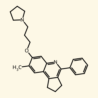 Cc1cc2c3c(c(-c4ccccc4)nc2cc1OCCCN1CCCC1)CCC3